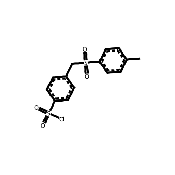 Cc1ccc(S(=O)(=O)Cc2ccc(S(=O)(=O)Cl)cc2)cc1